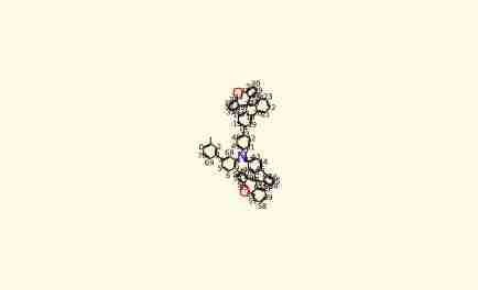 c1ccc(-c2cccc(N(c3ccc(-c4ccc5c(c4)-c4ccccc4C54c5ccccc5Oc5ccccc54)cc3)c3ccc4c(c3)C3(c5ccccc5Oc5ccccc53)c3ccccc3-4)c2)cc1